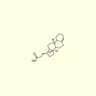 C[C@]12CC[C@H]3[C@@H](CCC4=CCCC[C@@]43C)[C@@H]1CC[C@H]2CCC(=O)O